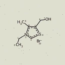 CC[n+]1csc(CO)c1C.[Br-]